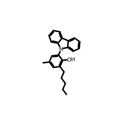 CCCCCc1cc(C)cc(-n2c3ccccc3c3ccccc32)c1O